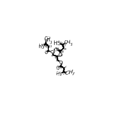 CC(S)CC(=O)OCC(COC(=O)CC(C)S)OC(=O)CC(C)S